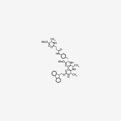 COC(=O)C(C)NC(=O)CCC(=O)Nc1ccc(C[C@H](NC(=O)C(C)NC(=O)C(C)NC(=O)OCC2c3ccccc3-c3ccccc32)C(=O)OC)cc1